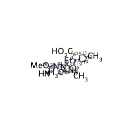 CCC1=c2/c(=C(\CCC(=O)O)c3ccc(C)cc3)cc(C)n2C[C@@H](C)N1/C=N/C=C(\C=N)OC